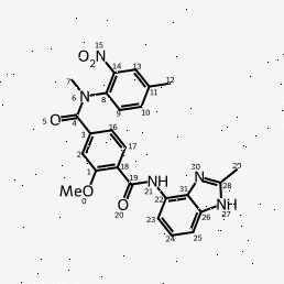 COc1cc(C(=O)N(C)c2ccc(C)cc2[N+](=O)[O-])ccc1C(=O)Nc1cccc2[nH]c(C)nc12